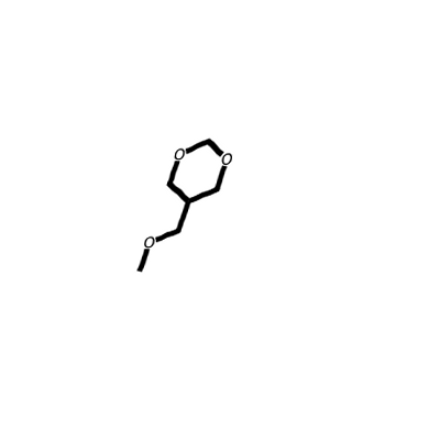 COCC1COCOC1